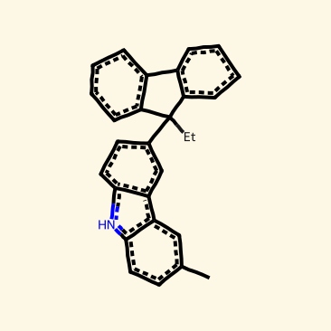 CCC1(c2ccc3[nH]c4ccc(C)cc4c3c2)c2ccccc2-c2ccccc21